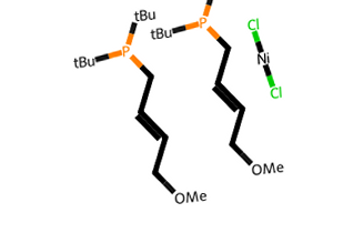 COCC=CCP(C(C)(C)C)C(C)(C)C.COCC=CCP(C(C)(C)C)C(C)(C)C.[Cl][Ni][Cl]